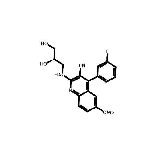 COc1ccc2nc([AsH]C[C@@H](O)CO)c(C#N)c(-c3cccc(F)c3)c2c1